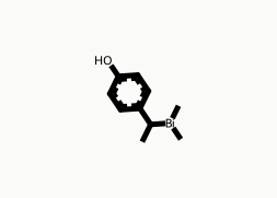 C[CH](c1ccc(O)cc1)[Bi]([CH3])[CH3]